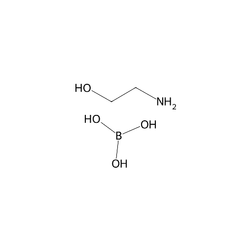 NCCO.OB(O)O